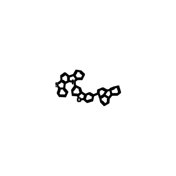 c1ccc2c(c1)-c1cccc3c(-c4ccc5oc6ccc(-n7c8ccccc8c8ccc9sc%10ccccc%10c9c87)cc6c5c4)ccc-2c13